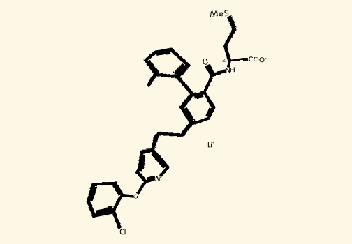 CSCC[C@H](NC(=O)c1ccc(CCc2ccc(Oc3ccccc3Cl)nc2)cc1-c1ccccc1C)C(=O)[O-].[Li+]